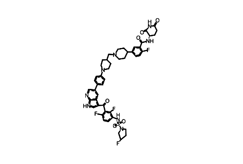 O=C1CC[C@H](NC(=O)c2cc(C3CCN(CC4CCN(c5ccc(-c6cnc7[nH]cc(C(=O)c8c(F)ccc(NS(=O)(=O)N9CC[C@@H](F)C9)c8F)c7c6)cc5)CC4)CC3)ccc2F)C(=O)N1